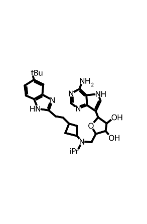 CC(C)N(CC1OC(c2c[nH]c3c(N)ncnc23)C(O)C1O)C1CC(CCc2nc3cc(C(C)(C)C)ccc3[nH]2)C1